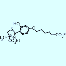 CCOC(=O)CCCCCOc1ccc(C2=N[C@@](C)(C(=O)OCC)CS2)c(O)c1